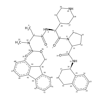 CC(C(=O)N[C@H](C(=O)N1CCCC1C(=O)N[C@@H]1CCCc2ccccc21)C1CCNCC1)N(C)C(=O)OCC1c2ccccc2-c2ccccc21